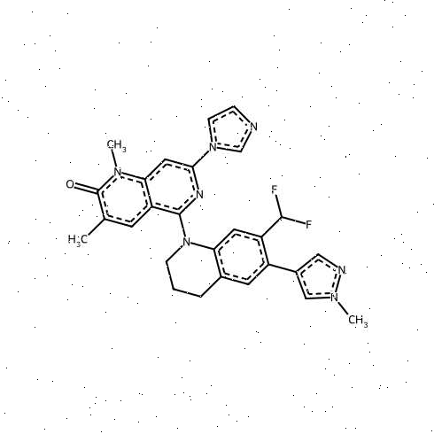 Cc1cc2c(N3CCCc4cc(-c5cnn(C)c5)c(C(F)F)cc43)nc(-n3ccnc3)cc2n(C)c1=O